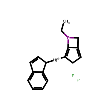 CCP1CC2=CC[C]([Hf+2][CH]3C=Cc4ccccc43)=C21.[F-].[F-]